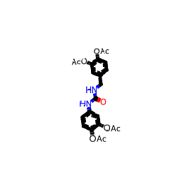 CC(=O)Oc1ccc(CNC(=O)Nc2ccc(OC(C)=O)c(OC(C)=O)c2)cc1OC(C)=O